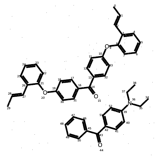 CC=Cc1ccccc1Oc1ccc(C(=O)c2ccc(Oc3ccccc3C=CC)cc2)cc1.CCN(CC)c1ccc(C(=O)c2ccccc2)cc1